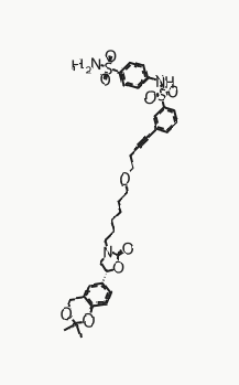 CC1(C)OCc2cc([C@@H]3CN(CCCCCCOCCC#Cc4cccc(S(=O)(=O)Nc5ccc(S(N)(=O)=O)cc5)c4)C(=O)O3)ccc2O1